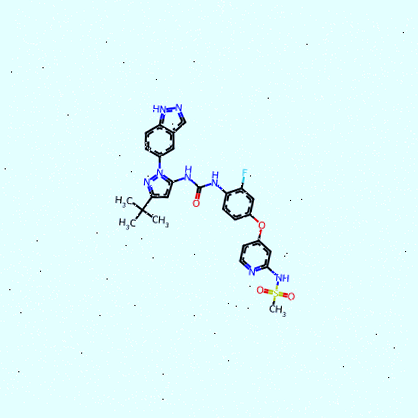 CC(C)(C)c1cc(NC(=O)Nc2ccc(Oc3ccnc(NS(C)(=O)=O)c3)cc2F)n(-c2ccc3[nH]ncc3c2)n1